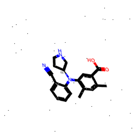 Cc1cc(C)c(N(c2ccccc2C#N)[C@H]2CCNC2)cc1C(=O)O